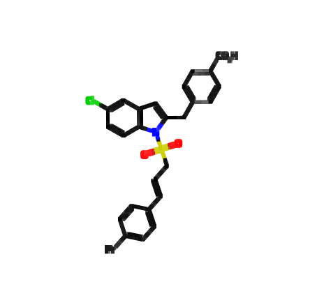 CC(C)c1ccc(C=CCS(=O)(=O)n2c(Cc3ccc(C(=O)O)cc3)cc3cc(Cl)ccc32)cc1